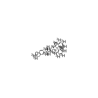 [2H]c1c([2H])c([2H])c(C(C(N)=O)(c2c([2H])c([2H])c([2H])c([2H])c2[2H])[C@@H]2CCN(C([2H])([2H])C([2H])([2H])c3ccc4c(c3)CC([2H])([2H])O4)C2)c([2H])c1[2H]